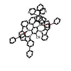 N#Cc1c(-n2c3ccccc3c3cc(-c4ccccc4)ccc32)c(-n2c3ccccc3c3cc(-c4ccccc4)ccc32)c(-c2cccc3c2-c2ccccc2C32c3cnccc3-c3ccncc32)c(-n2c3ccccc3c3cc(-c4ccccc4)ccc32)c1-n1c2ccccc2c2cc(-c3ccccc3)ccc21